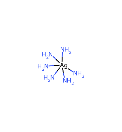 [NH2][Ag]([NH2])([NH2])([NH2])([NH2])[NH2]